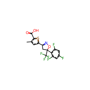 Cc1cc(C2=NOC(c3c(F)cc(F)cc3F)(C(F)(F)F)C2)sc1C(=O)O